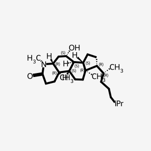 CC(C)CCC[C@@H](C)[C@H]1CC[C@H]2[C@@H]3[C@@H](O)C[C@H]4N(C)C(=O)CC[C@]4(C)[C@H]3CC[C@]12C